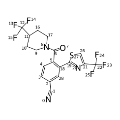 N#Cc1ccc(C(=O)N2CCC(C(F)(F)F)CC2)c(-c2nc(C(F)(F)F)cs2)c1